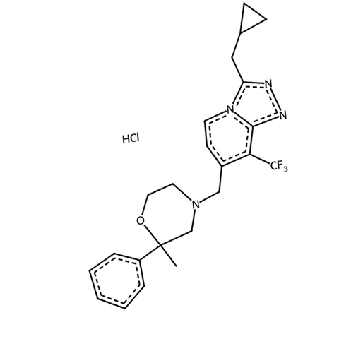 CC1(c2ccccc2)CN(Cc2ccn3c(CC4CC4)nnc3c2C(F)(F)F)CCO1.Cl